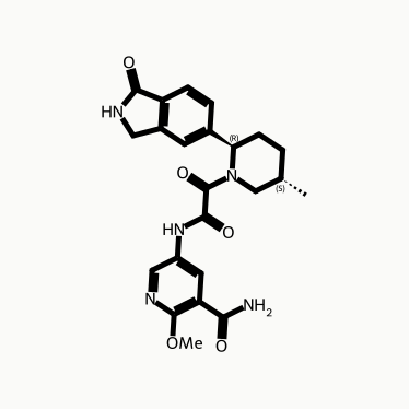 COc1ncc(NC(=O)C(=O)N2C[C@@H](C)CC[C@@H]2c2ccc3c(c2)CNC3=O)cc1C(N)=O